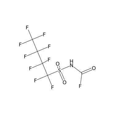 O=C(F)NS(=O)(=O)C(F)(F)C(F)(F)C(F)(F)C(F)(F)F